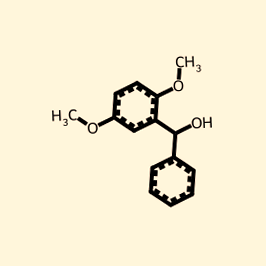 COc1ccc(OC)c(C(O)c2ccccc2)c1